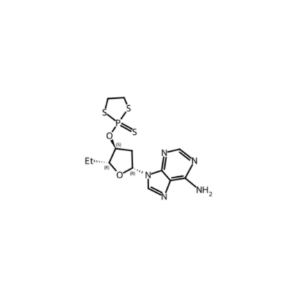 CC[C@H]1O[C@@H](n2cnc3c(N)ncnc32)C[C@@H]1OP1(=S)SCCS1